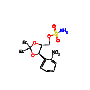 CCC1(CC)O[C@H](c2ccccc2[N+](=O)[O-])[C@@H](COS(N)(=O)=O)O1